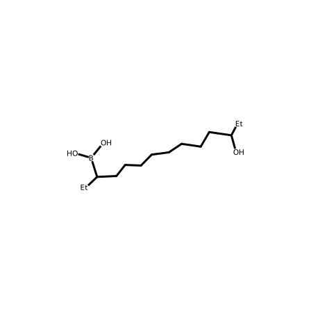 CCC(O)CCCCCCCCC(CC)B(O)O